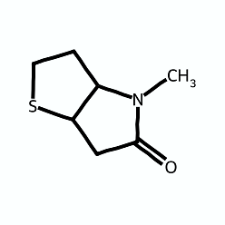 CN1C(=O)CC2SCCC21